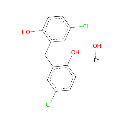 CCO.Oc1ccc(Cl)cc1Cc1cc(Cl)ccc1O